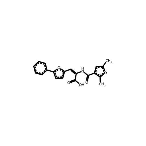 Cc1cc(C(=O)N/C(=C/c2ccc(-c3ccccc3)o2)C(=O)O)c(C)o1